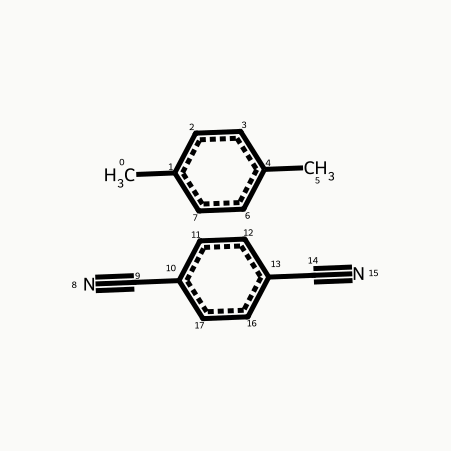 Cc1ccc(C)cc1.N#Cc1ccc(C#N)cc1